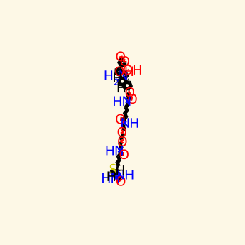 C[C@]12[C@H](O)C[C@@]3(N)[C@@H](CC[C@@H]4C[C@@H](OCC(=O)NCCCCCC(=O)NCCOCCOCCNC(=O)CCCC[C@@H]5SC[C@@H]6NC(=O)N[C@@H]65)CC[C@@]43C)[C@@]1(O)CC[C@@H]2C1=CC(=O)OC1